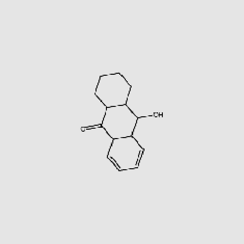 O=C1C2C=CC=CC2C(O)C2CCCCC12